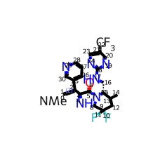 CN/C=C(\C(=N)C(=O)N1CC(F)(F)CC(C)[C@H]1CNc1ncc(C(F)(F)F)cn1)c1cccnc1